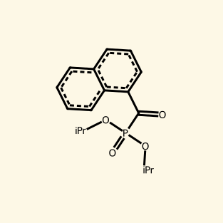 CC(C)OP(=O)(OC(C)C)C(=O)c1cccc2ccccc12